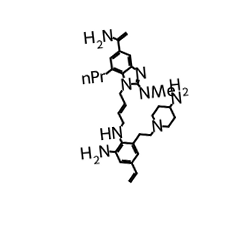 C=Cc1cc(N)c(NC/C=C/Cn2c(NC)nc3cc(C(=C)N)cc(CCC)c32)c(CCN2CCC(N)CC2)c1